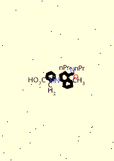 CCCN(CCC)C(=O)c1ccc(Nc2cccc(C(=O)O)c2C)c2cccc(C)c12